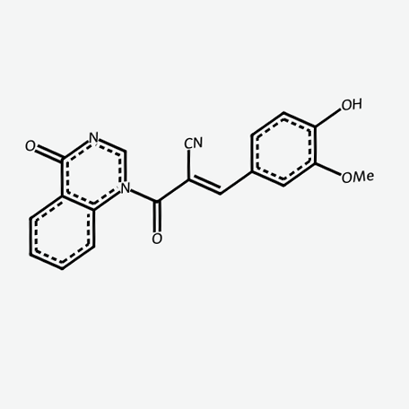 COc1cc(/C=C(\C#N)C(=O)n2cnc(=O)c3ccccc32)ccc1O